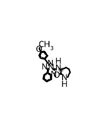 COc1ccc(-c2nc3c4ccccc4nc(N[C@@H]4CCCCNC4=O)n3n2)cc1